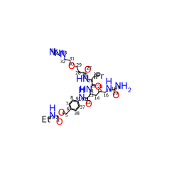 CCNC(=O)OCc1ccc(NC(=O)[C@H](CCCNC(N)=O)NC(=O)[C@@H](NC(=O)CCOCCN=[N+]=[N-])C(C)C)cc1